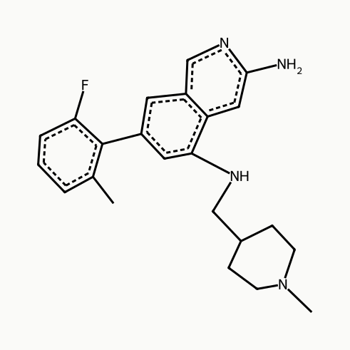 Cc1cccc(F)c1-c1cc(NCC2CCN(C)CC2)c2cc(N)ncc2c1